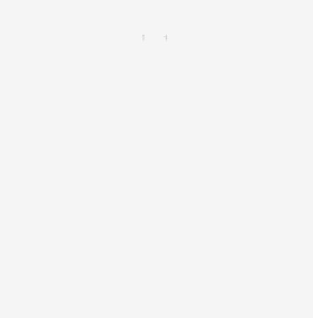 CC=C(CCCCCCCCCCCCCC)c1ccccc1